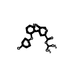 CC(C)OC(=O)c1cc2c(cn1)[nH]c1cccc(Oc3ccc(Cl)cc3)c12